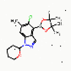 Cc1cc2c(cnn2C2CCCCO2)c(B2OC(C)(C)C(C)(C)O2)c1Cl